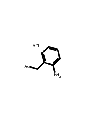 CC(=O)Cc1ccccc1P.Cl